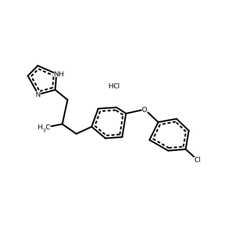 CC(Cc1ccc(Oc2ccc(Cl)cc2)cc1)Cc1ncc[nH]1.Cl